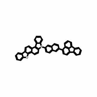 c1ccc2c(c1)-c1cccc3c(-c4ccc5cc(-n6c7ccccc7c7c8ccc9c%10ccccc%10oc9c8ccc76)ccc5c4)ccc-2c13